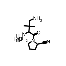 CC(C)(CN)C(N)C(=O)N1CCCC1C#N.Cl.Cl